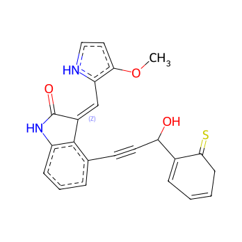 COc1cc[nH]c1/C=C1\C(=O)Nc2cccc(C#CC(O)C3=CC=CCC3=S)c21